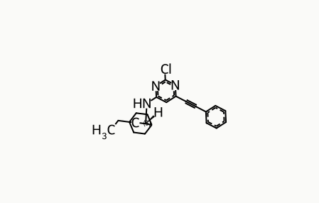 CCC12CCC(CC1)[C@@H](Nc1cc(C#Cc3ccccc3)nc(Cl)n1)C2